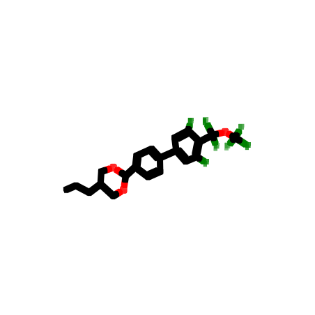 CCCC1COC(c2ccc(-c3cc(F)c(C(F)(F)OC(F)(F)F)c(F)c3)cc2)OC1